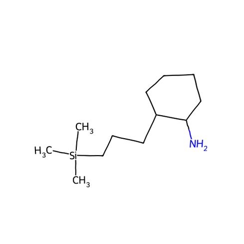 C[Si](C)(C)CCCC1CCCCC1N